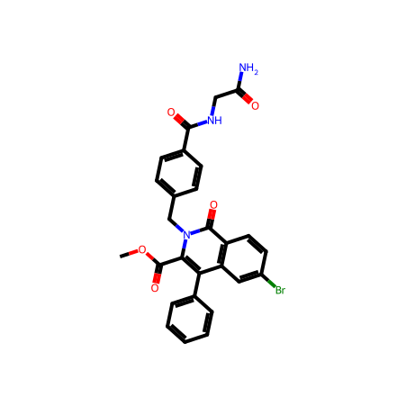 COC(=O)c1c(-c2ccccc2)c2cc(Br)ccc2c(=O)n1Cc1ccc(C(=O)NCC(N)=O)cc1